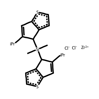 CC(C)C1=Cc2sccc2C1[Si](C)(C)C1C(C(C)C)=Cc2sccc21.[Cl-].[Cl-].[Zr+2]